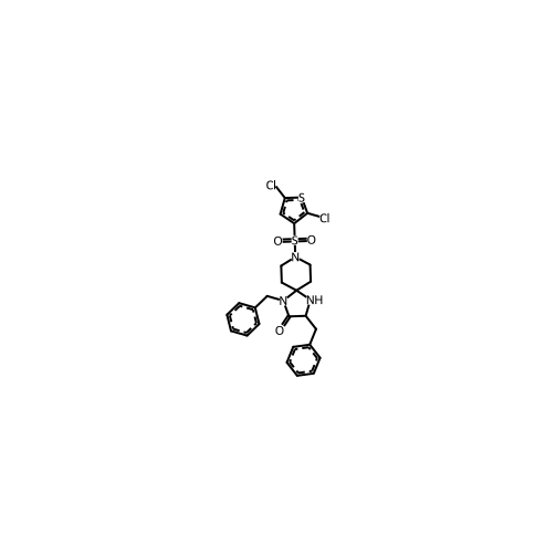 O=C1C(Cc2ccccc2)NC2(CCN(S(=O)(=O)c3cc(Cl)sc3Cl)CC2)N1Cc1ccccc1